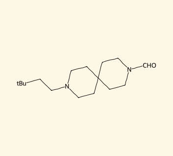 CC(C)(C)CCN1CCC2(CCN(C=O)CC2)CC1